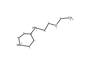 CCOCCNC1CCNCC1